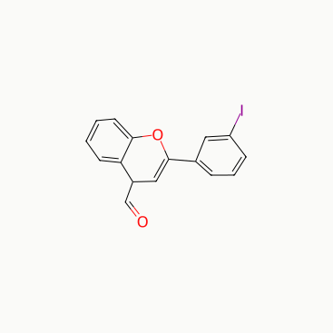 O=CC1C=C(c2cccc(I)c2)Oc2ccccc21